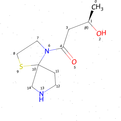 C[C@@H](O)CC(=O)N1CCSC12CCNC2